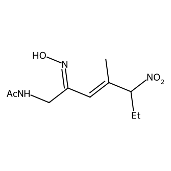 CCC(C(C)=CC(CNC(C)=O)=NO)[N+](=O)[O-]